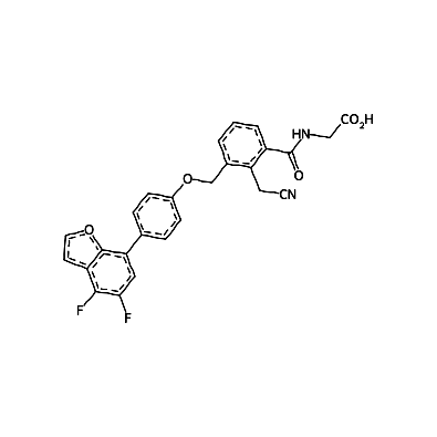 N#CCc1c(COc2ccc(-c3cc(F)c(F)c4ccoc34)cc2)cccc1C(=O)NCC(=O)O